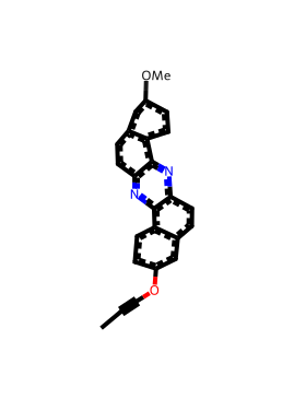 CC#COc1ccc2c(ccc3nc4c(ccc5cc(OC)ccc54)nc32)c1